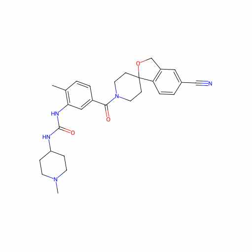 Cc1ccc(C(=O)N2CCC3(CC2)OCc2cc(C#N)ccc23)cc1NC(=O)NC1CCN(C)CC1